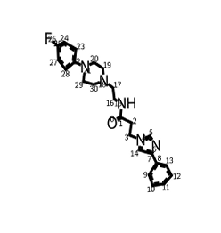 O=C(CCn1cnc(-c2ccccc2)c1)NCCN1CCN(c2ccc(F)cc2)CC1